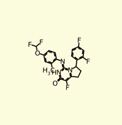 Cc1cc(OC(F)F)ccc1/N=c1\[nH]c(=O)c(F)c2n1C(c1ccc(F)cc1F)CC2